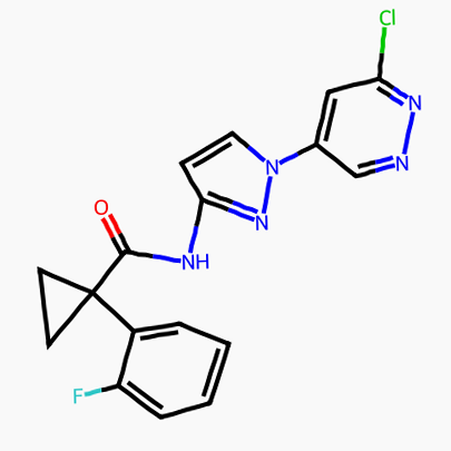 O=C(Nc1ccn(-c2cnnc(Cl)c2)n1)C1(c2ccccc2F)CC1